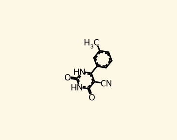 Cc1cccc(-c2[nH]c(=O)[nH]c(=O)c2C#N)c1